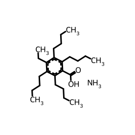 CCCCc1c(CC)c(CCCC)c(CCCC)c(C(=O)O)c1CCCC.N